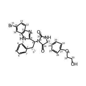 C[C@H](c1ccccc1)[C@@H](c1nc2ccc(Br)cc2[nH]1)N1C(=O)N[C@H](c2ccc(OCCO)cc2)C1=O